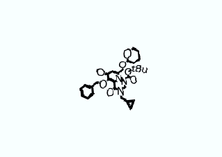 CC(C)(C)OC(=O)N1CN(CC2CC2)C(=O)c2c(OCc3ccccc3)c(=O)cc(COC3CCCCO3)n21